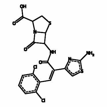 Nc1nc(/C(=C/c2c(Cl)cccc2Cl)C(=O)NC2C(=O)N3C(C(=O)O)CSC23)cs1